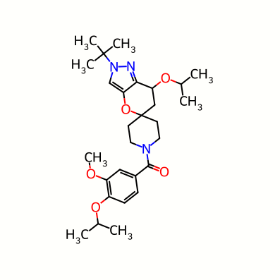 COc1cc(C(=O)N2CCC3(CC2)CC(OC(C)C)c2nn(C(C)(C)C)cc2O3)ccc1OC(C)C